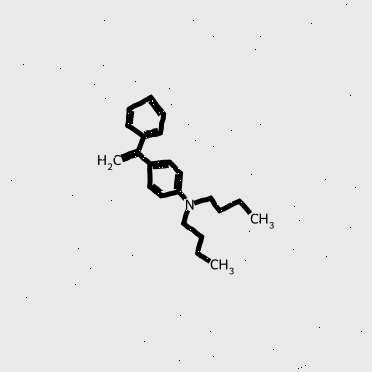 C=C(c1ccccc1)c1ccc(N(CCCC)CCCC)cc1